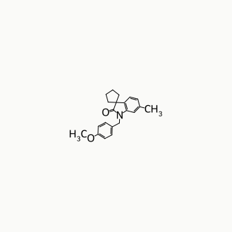 COc1ccc(CN2C(=O)C3(CCCC3)c3ccc(C)cc32)cc1